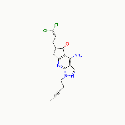 CC#CCCn1ncc2c(N)c3c(nc21)CC(CC=C(Cl)Cl)C3=O